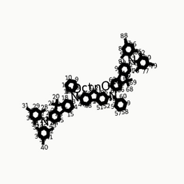 CCCCCCCCC1(CCCCCCCC)c2cc(N(c3ccccc3)c3ccc4c(c3)C(C)(C)c3cc(N(c5c(C)cc(C)cc5C)c5c(C)cc(C)cc5C)ccc3-4)ccc2-c2ccc(N(c3ccccc3)c3ccc4c(c3)C(C)(C)c3cc(N(c5c(C)cc(C)cc5C)c5c(C)cc(C)cc5C)ccc3-4)cc21